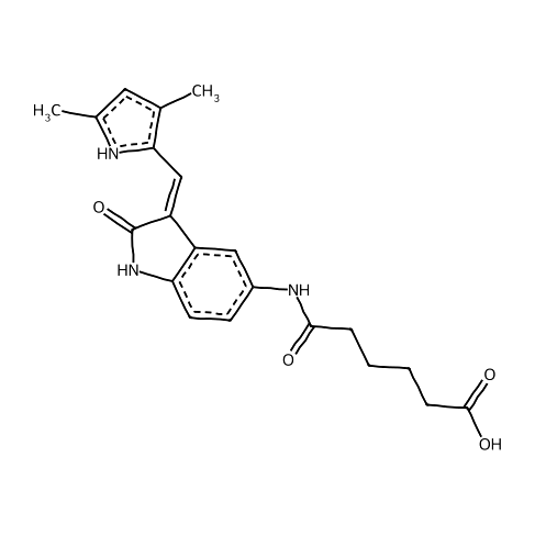 Cc1cc(C)c(/C=C2\C(=O)Nc3ccc(NC(=O)CCCCC(=O)O)cc32)[nH]1